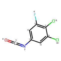 O=C=Nc1cc(F)c(Cl)c(Cl)c1